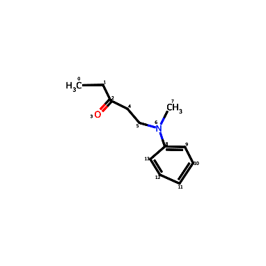 CCC(=O)CCN(C)c1ccccc1